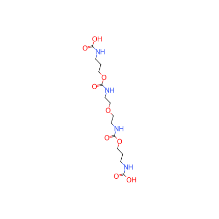 O=C(O)NCCCOC(=O)NCCOCCNC(=O)OCCCNC(=O)O